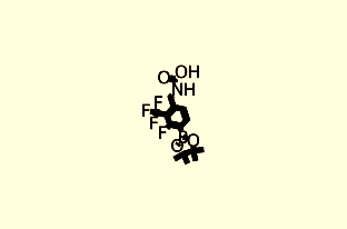 CC1(C)OB(c2ccc(CNC(=O)O)c(C(F)(F)F)c2F)OC1(C)C